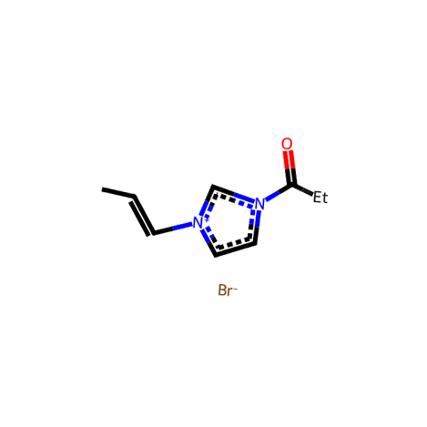 CC=C[n+]1ccn(C(=O)CC)c1.[Br-]